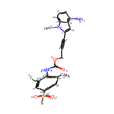 CCCn1c(C#CCOC(=O)Nc2c(F)cc(S(C)(=O)=O)cc2OC)cc2c(N)cccc21